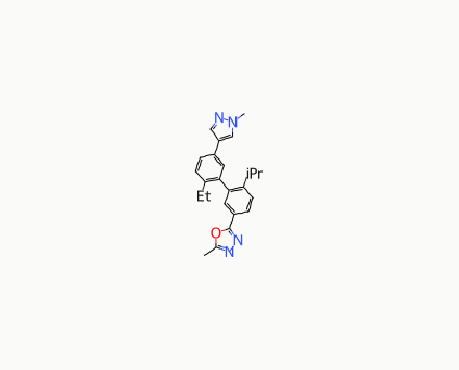 CCc1ccc(-c2cnn(C)c2)cc1-c1cc(-c2nnc(C)o2)ccc1C(C)C